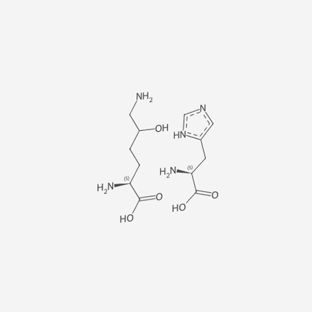 NCC(O)CC[C@H](N)C(=O)O.N[C@@H](Cc1cnc[nH]1)C(=O)O